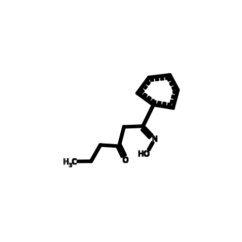 CCCC(=O)CC(=NO)c1ccccc1